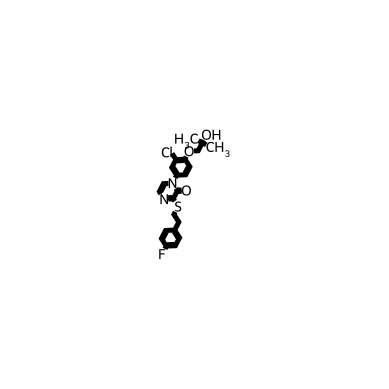 CC(C)(O)COc1ccc(-n2ccnc(SCCc3ccc(F)cc3)c2=O)cc1Cl